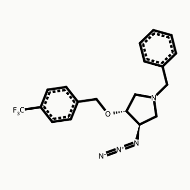 [N-]=[N+]=N[C@@H]1CN(Cc2ccccc2)C[C@H]1OCc1ccc(C(F)(F)F)cc1